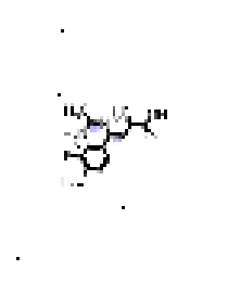 C=C(/C=C(\N=C(\C)N)c1ccc(C)c(F)c1)C(=O)O